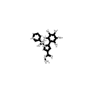 [2H]c1c([2H])c([2H])c(-c2cc(C(=O)OC)cn2S(=O)(=O)c2cccnc2)c([2H])c1[2H]